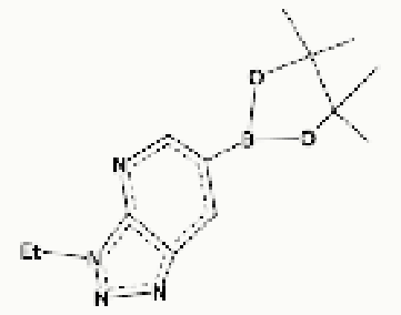 CCn1nnc2cc(B3OC(C)(C)C(C)(C)O3)cnc21